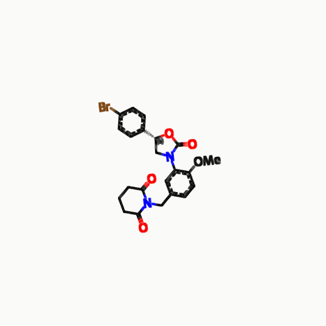 COc1ccc(CN2C(=O)CCCC2=O)cc1N1C[C@H](c2ccc(Br)cc2)OC1=O